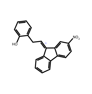 O=[N+]([O-])c1ccc2c(c1)/C(=C/Cc1ccccc1O)c1ccccc1-2